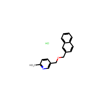 Cl.O=C(O)c1ccc(COCc2ccc3ccccc3c2)cn1